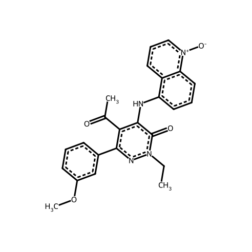 CCn1nc(-c2cccc(OC)c2)c(C(C)=O)c(Nc2cccc3c2ccc[n+]3[O-])c1=O